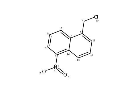 O=[N+]([O-])c1cccc2c(CCl)cccc12